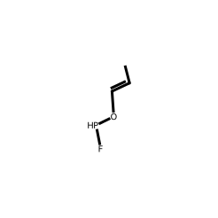 CC=COPF